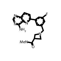 CNC(=O)C1CN(Cc2cc(F)cc(-c3ccc4ncnc(N)c4n3)c2)C1